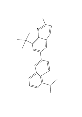 Cc1ccc2cc(-c3ccc4c(C(C)C)cccc4c3)cc(C(C)(C)C)c2n1